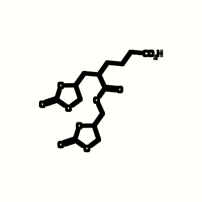 O=C(O)CCCC(CC1COC(=O)O1)C(=O)OCC1COC(=O)O1